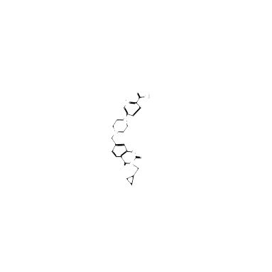 CNC(=O)c1ccc(N2CCN(Cc3ccc4c(=O)n(CC5CC5)c(=O)[nH]c4c3)CC2)cn1